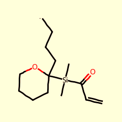 [CH2]CCCC1([Si](C)(C)C(=O)C=C)CCCCO1